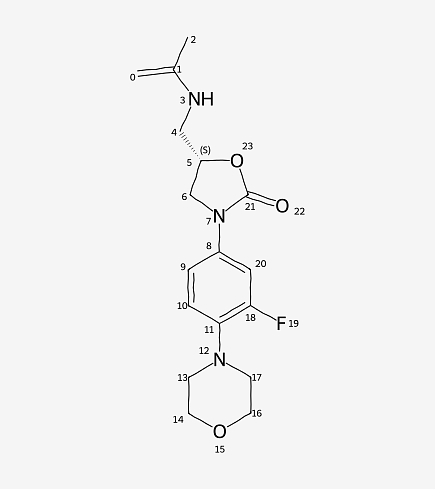 C=C(C)NC[C@H]1CN(c2ccc(N3CCOCC3)c(F)c2)C(=O)O1